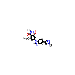 CCNC(=O)c1c(O)cc(-n2cnc3cc(-c4cnn(CC)c4)ccc32)cc1OC